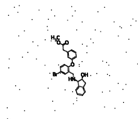 COC(=O)Cc1cccc(Oc2ccc(Br)cc2CN[C@@H]2c3ccccc3C[C@@H]2O)c1